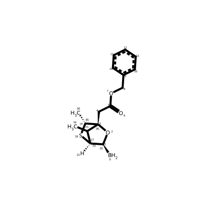 B[C@@H]1O[C@]2(CC(=O)OCc3ccccc3)C(C)[C@@H]1S[C@@H]2C